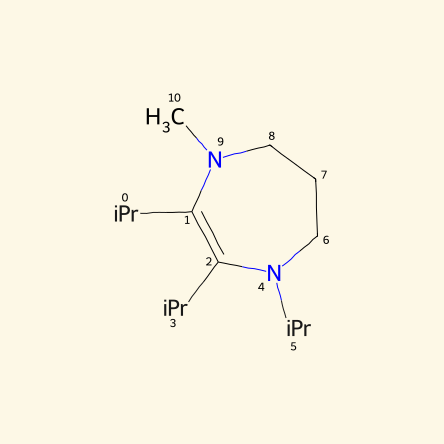 CC(C)C1=C(C(C)C)N(C(C)C)CCCN1C